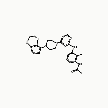 CC(=O)Nc1cccc(Nc2ncnc(N3CCN(c4cccc5c4OCCO5)CC3)n2)c1C